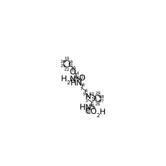 C[C@H](CCN(CCCCNC(=O)[C@@H](N)COCc1ccccc1)Cc1ccccc1)NC(=O)O